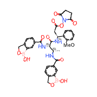 COc1ccccc1[C@H](CC(=O)ON1C(=O)CCC1=O)NC(=O)[C@@H](NC(=O)c1ccc2c(c1)B(O)OC2)[C@H](C)NC(=O)c1ccc2c(c1)B(O)OC2